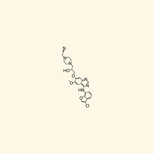 COc1cc2c(Nc3cccc4c(Cl)coc34)ncnc2cc1OCC(O)CN1CCN(CC#N)CC1